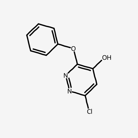 Oc1cc(Cl)nnc1Oc1ccccc1